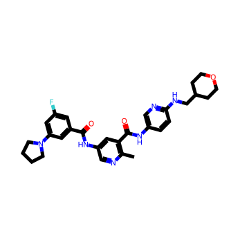 Cc1ncc(NC(=O)c2cc(F)cc(N3CCCC3)c2)cc1C(=O)Nc1ccc(NCC2CCOCC2)nc1